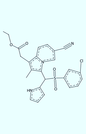 CCOC(=O)Cc1c(C)c(C(c2ccc[nH]2)S(=O)(=O)c2cccc(Cl)c2)n2cc(C#N)ccc12